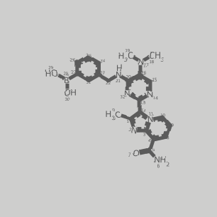 Cc1nc2c(C(N)=O)cccn2c1-c1ncc(N(C)C)c(NCc2cccc(B(O)O)c2)n1